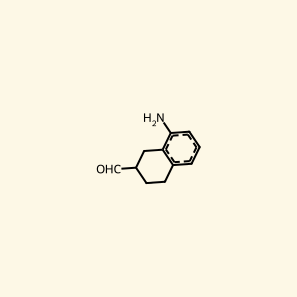 Nc1cccc2c1CC(C=O)CC2